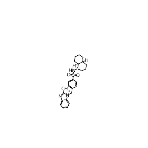 Cc1nc2ccccc2n1Cc1ccc(S(=O)(=O)NN2CCC[C@H]3CCCC[C@@H]32)cc1